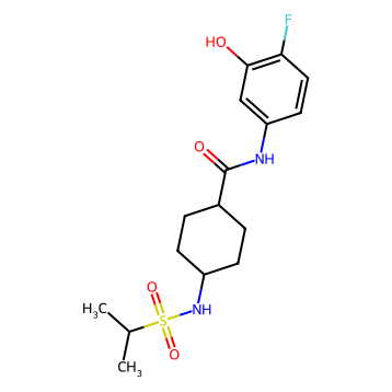 CC(C)S(=O)(=O)NC1CCC(C(=O)Nc2ccc(F)c(O)c2)CC1